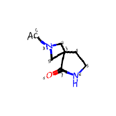 CC(=O)N1CC2(CCNC2=O)C1